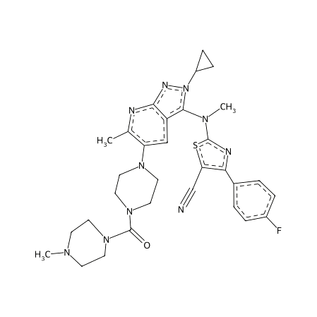 Cc1nc2nn(C3CC3)c(N(C)c3nc(-c4ccc(F)cc4)c(C#N)s3)c2cc1N1CCN(C(=O)N2CCN(C)CC2)CC1